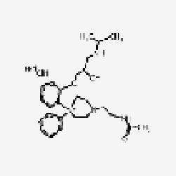 CC(=O)NCCN1CC[N+](c2ccccc2)(c2ccccc2OCC(O)CNC(C)C)CC1.Cl.Cl